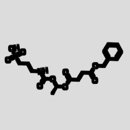 C[C@H](OC(=O)CCC(=O)OCc1ccccc1)OC(=O)NCCCS(=O)(=O)O